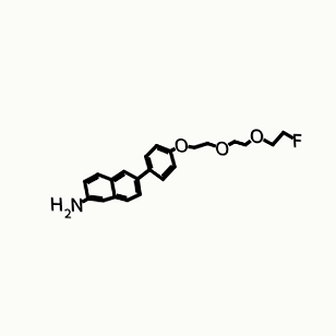 Nc1ccc2cc(-c3ccc(OCCOCCOCCF)cc3)ccc2c1